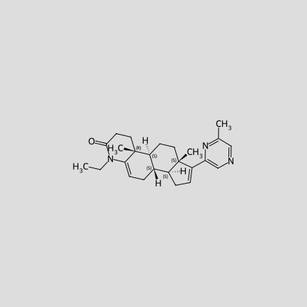 CCN1C(=O)CC[C@@]2(C)C1=CC[C@@H]1[C@@H]2CC[C@]2(C)C(c3cncc(C)n3)=CC[C@@H]12